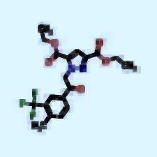 CCOC(=O)c1cc(C(=O)OCC)n(CC(=O)c2ccc(C)c(C(F)(F)F)c2)n1